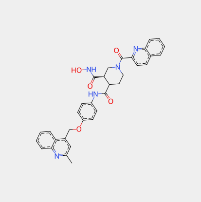 Cc1cc(COc2ccc(NC(=O)C3CCN(C(=O)c4ccc5ccccc5n4)C[C@@H]3C(=O)NO)cc2)c2ccccc2n1